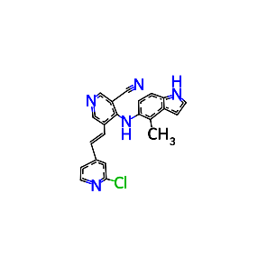 Cc1c(Nc2c(C#N)cncc2C=Cc2ccnc(Cl)c2)ccc2[nH]ccc12